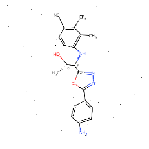 Cc1c(N[C@@H](c2nnc(-c3ccc(N)cc3)o2)[C@H](C)O)ccc(C#N)c1C(F)(F)F